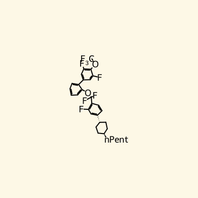 CCCCC[C@H]1CC[C@H](c2ccc(C(F)(F)Oc3ccccc3-c3cc(F)c(OC(F)(F)F)c(F)c3)c(F)c2)CC1